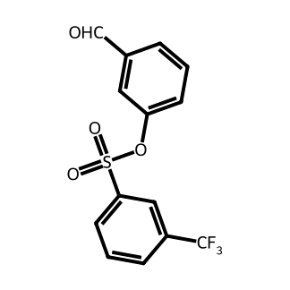 O=Cc1cccc(OS(=O)(=O)c2cccc(C(F)(F)F)c2)c1